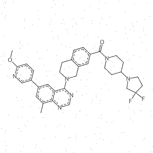 COc1ccc(-c2cc(C)c3ncnc(N4CCc5ccc(C(=O)N6CCC(N7CCC(F)(F)C7)CC6)cc5C4)c3c2)cn1